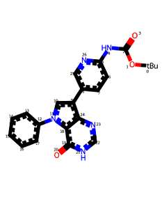 CC(C)(C)OC(=O)Nc1ccc(-c2cn(-c3ccccc3)c3c(=O)[nH]cnc23)cn1